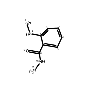 CCCNc1ccccc1C(=O)NN